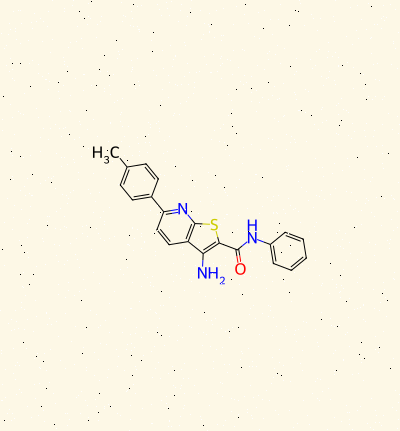 Cc1ccc(-c2ccc3c(N)c(C(=O)Nc4ccccc4)sc3n2)cc1